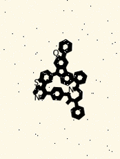 CC1C(c2ccccc2)=CCC(c2ccccc2)=NC1c1ccc(-c2cncc3sc4ccc(C5c6ccccc6-c6cc7c(cc65)oc5ccccc57)cc4c23)cc1